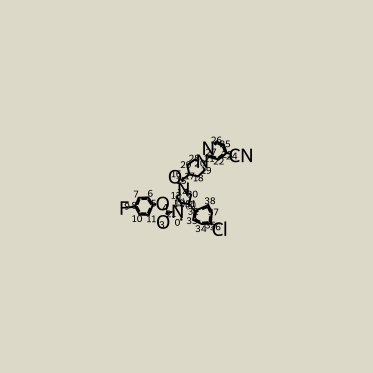 CN(C(=O)Oc1ccc(F)cc1)[C@@H]1CN(C(=O)C2CCN(c3cc(C#N)ccn3)CC2)C[C@H]1c1ccc(Cl)cc1